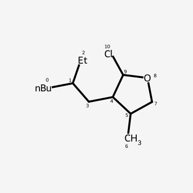 CCCCC(CC)CC1C(C)COC1Cl